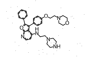 c1ccc(-c2oc3nccc(NCCN4CCNCC4)c3c2-c2ccc(OCCN3CCOCC3)cc2)cc1